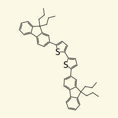 CCCC1(CCC)c2ccccc2-c2ccc(-c3ccc(-c4ccc(-c5ccc6c(c5)C(CCC)(CCC)c5ccccc5-6)s4)s3)cc21